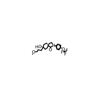 COCCC[C@]1(O)CC[C@]2(CCN(c3ccc(OC(F)(F)F)cc3)C2=O)CC1